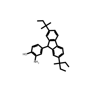 CCC(C)(C)c1ccc2c(c1)C(c1ccc(O)c(N)c1)c1cc(C(C)(CC)CC)ccc1-2